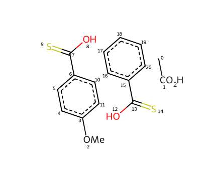 CC(=O)O.COc1ccc(C(O)=S)cc1.OC(=S)c1ccccc1